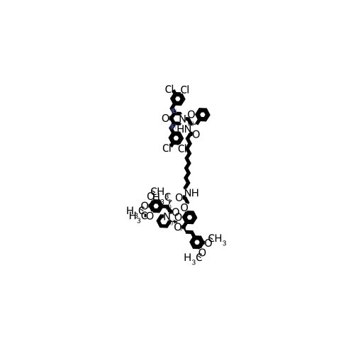 CC[C@H](C(=O)N1CCCC[C@H]1C(=O)O[C@H](CCc1ccc(OC)c(OC)c1)c1cccc(OCC(=O)NCCCCCCCCCCCC(=O)N[C@@H](Cc2ccccc2)C(=O)N2C/C(=C\c3ccc(Cl)c(Cl)c3)C(=O)/C(=C/c3ccc(Cl)c(Cl)c3)C2)c1)c1cc(OC)c(OC)c(OC)c1